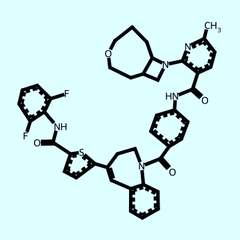 Cc1ccc(C(=O)Nc2ccc(C(=O)N3CCC(c4ccc(C(=O)Nc5c(F)cccc5F)s4)=Cc4ccccc43)cc2)c(N2CC3CCOCCCC32)n1